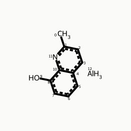 Cc1ccc2cccc(O)c2n1.[AlH3]